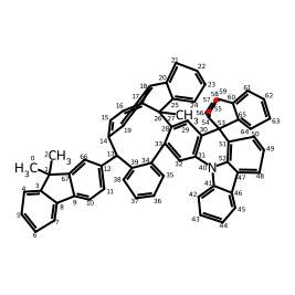 CC1(C)c2ccccc2-c2ccc(C3c4ccc5c(c4)-c4ccccc4C5(C)c4cc5c(cc4-c4ccccc43)-n3c4ccccc4c4cccc(c43)C53c4ccccc4-c4ccccc43)cc21